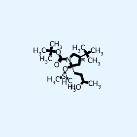 CC(O)CC[C@@]1(O[SiH](C)C)C[C@H](C(C)(C)C)CN1C(=O)OC(C)(C)C